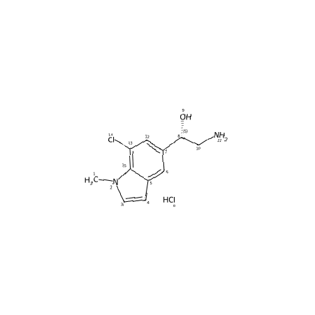 Cl.Cn1ccc2cc([C@H](O)CN)cc(Cl)c21